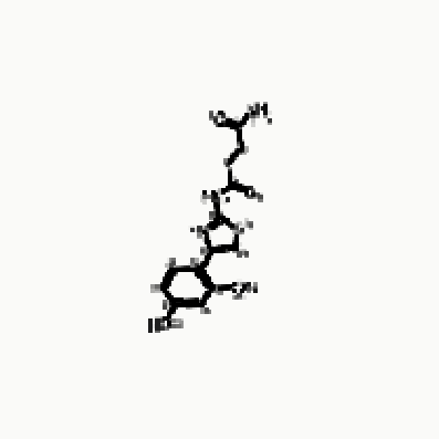 NC(=O)CCC(=O)Nc1nc(-c2ccc(O)cc2O)cs1